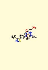 Cc1ncsc1-c1ccc(CNC(=O)C2C[C@@H](O)CN2C(=O)[C@@H](NC(C)(C)C)C(C)(C)C)cc1